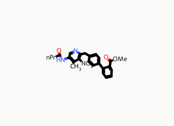 CCCC(=O)Nc1cnc(Cc2ccc(-c3ccccc3C(=O)OC)cc2)c([N+](=O)[O-])c1C